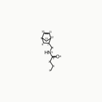 CCCC(=O)NCC1CC2C=CC1C2